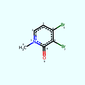 Cn1ccc(Br)c(Br)c1=O